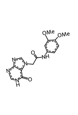 COc1ccc(NC(=O)Cn2cnc3nc[nH]c(=O)c32)cc1OC